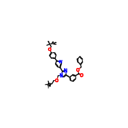 CC(=O)C(C)(C)COc1ccc(-c2ccc(-c3nc(-c4cccc(C(=O)OCc5ccccc5)c4)cn3COCC[Si](C)(C)C)cn2)cc1